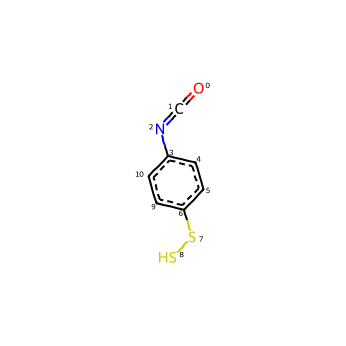 O=C=Nc1ccc(SS)cc1